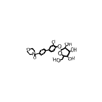 O=C(c1ccc(-c2ccc(O[C@H]3OC(CO)[C@@H](O)[C@H](O)C3O)c(Cl)c2)cc1)N1CCOCC1